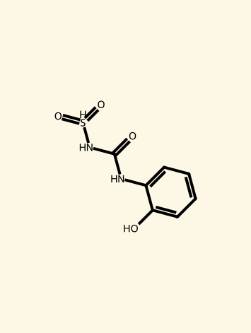 O=C(Nc1ccccc1O)N[SH](=O)=O